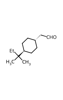 CCC(C)(C)[C@H]1CC[C@H](CC=O)CC1